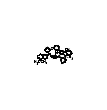 CC1(C)CCCc2cc(N3c4ccc5c(c4)N(c4ccccc4Oc4ccccc43)c3ccc4c6c3B5c3cnccc3N6C3(C)CCCCC43C)ccc21